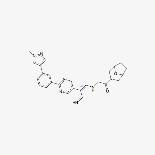 Cn1cc(-c2cccc(-c3ncc(/C(C=N)=C/NCC(=O)N4CC5CCC(C4)O5)cn3)c2)cn1